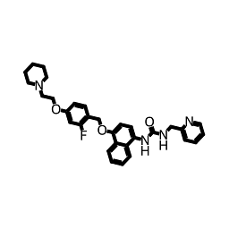 O=C(NCc1ccccn1)Nc1ccc(OCc2ccc(OCCN3CCCCC3)cc2F)c2ccccc12